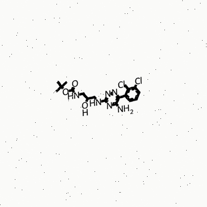 CC(C)(C)OC(=O)NCC(O)CNc1nnc(-c2cccc(Cl)c2Cl)c(N)n1